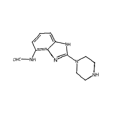 O=CNc1cccc2[nH]c(N3CCNCC3)nc12